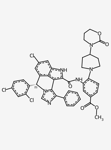 COC(=O)c1ccc(N2CCC(N3CCCOC3=O)CC2)c(NC(=O)c2[nH]c3cc(Cl)cc4c3c2-c2c(-c3ccccc3)ncn2[C@@H]4c2ccc(Cl)cc2Cl)c1